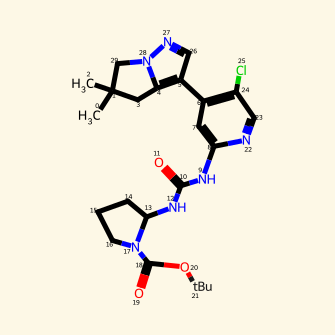 CC1(C)Cc2c(-c3cc(NC(=O)NC4CCCN4C(=O)OC(C)(C)C)ncc3Cl)cnn2C1